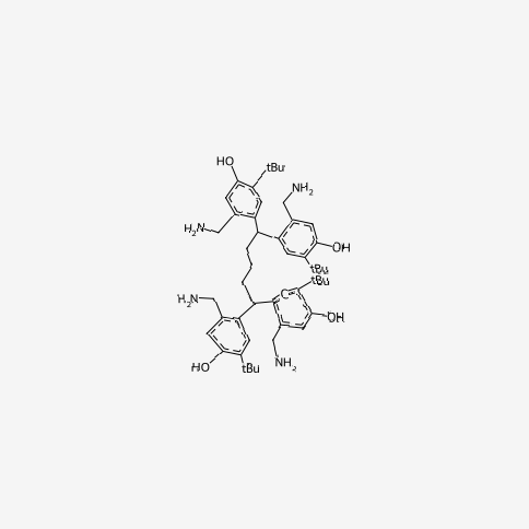 CC(C)(C)c1cc(C(CCCC(c2cc(C(C)(C)C)c(O)cc2CN)c2cc(C(C)(C)C)c(O)cc2CN)c2cc(C(C)(C)C)c(O)cc2CN)c(CN)cc1O